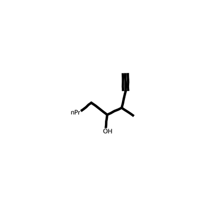 C#CC(C)C(O)CCCC